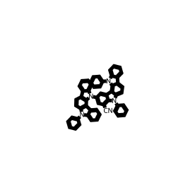 N#Cc1cc(-n2c3ccccc3c3ccc4c(c5ccccc5n4-c4ccccc4)c32)cc2c3c(ccc4c5ccccc5n(-c5ccccc5)c43)n(-c3ccccc3)c12